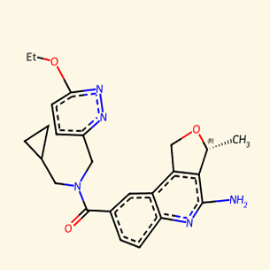 CCOc1ccc(CN(CC2CC2)C(=O)c2ccc3nc(N)c4c(c3c2)CO[C@@H]4C)nn1